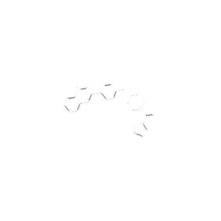 O=C(c1ccco1)N1CCC(Oc2ccc(-c3cnc4ccccc4c3)cc2)CC1